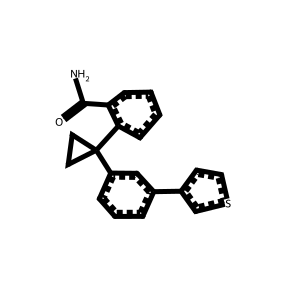 NC(=O)c1ccccc1C1(c2cccc(-c3ccsc3)c2)CC1